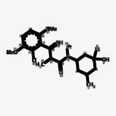 CCC1(O)CC(C)CC(N(C(=O)C(C)C(=N)c2c(NC)ccc(OC)c2Cl)C(C)C)C1